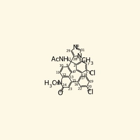 CC(=O)NC(c1ccc(Cl)cc1)(c1ccc2c(c1)c(-c1cccc(Cl)c1)cc(=O)n2C)c1cncn1C